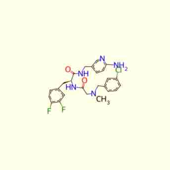 CN(CC(=O)N[C@@H](Cc1ccc(F)c(F)c1)C(=O)NCc1ccc(N)nc1)Cc1cccc(Cl)c1